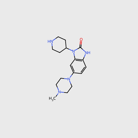 CN1CCN(c2ccc3[nH]c(=O)n(C4CCNCC4)c3c2)CC1